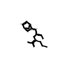 C/C=C(\CC(CCC)=C(C)C)CC1CC2C=CC1C2